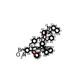 C[N+]1=C(/C=C/C=C2/N(Cc3ccc(CN4/C(=C/C=C/C5=[N+](C)c6ccc7ccccc7c6C5(C)C)C(Cc5ccccc5)(Cc5ccccc5)c5cc([N+](=O)[O-])c(Br)cc54)cc3)c3cc(Br)c([N+](=O)[O-])cc3C2(Cc2ccccc2)Cc2ccccc2)C(C)(C)c2c1ccc1ccccc21